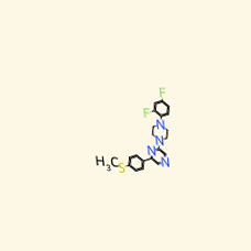 CSc1ccc(-c2cncc(N3CCN(c4ccc(F)cc4F)CC3)n2)cc1